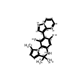 Cc1ccc2n1-c1c(cc(F)c(-c3cnn4cccnc34)c1F)NC2(C)C